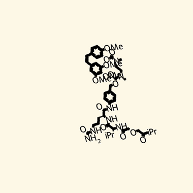 COc1ccc(/C=C\c2cc(OC)c(OC)c(OC)c2)cc1OC(=O)N(C)CCN(C)C(=O)OCc1ccc(NC(=O)[C@H](CCCNC(N)=O)NC(=O)[C@@H](NC(=O)COCC(=O)C(C)C)C(C)C)cc1